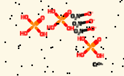 O=P(O)(O)O.O=P(O)(O)O.O=P(O)(O)O.O=[N+]([O-])[O-].O=[N+]([O-])[O-].O=[N+]([O-])[O-].[Cr+3]